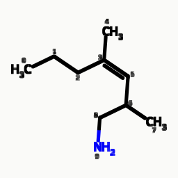 CCC/C(C)=C\C(C)CN